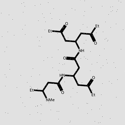 CCC(=O)CC(CC(=O)CC)NC(=O)CC(CC(=O)CC)NC(=O)CC(CC)NC